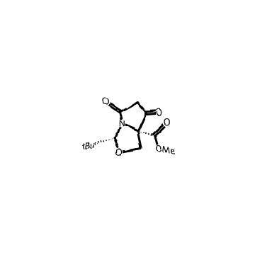 COC(=O)[C@]12CO[C@H](C(C)(C)C)N1C(=O)CC2=O